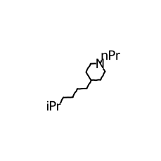 CCCN1CCC(CCCCC(C)C)CC1